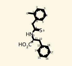 Cc1ccccc1CC(=S)N[C@@H](Cc1ccccc1)C(=O)O